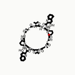 CC(C)[C@@H]1NC(=O)CN(C)C(=O)CNC(=O)[C@@H]2CCCCN2C(=O)[C@H](NC(=O)c2nc3ccccc3cc2O)CNC(=O)[C@H](C(C)C)NC(=O)CN(C)C(=O)CNC(=O)[C@@H]2CCCCN2C(=O)[C@H](NC(=O)c2nc3ccccc3cc2O)CNC1=O